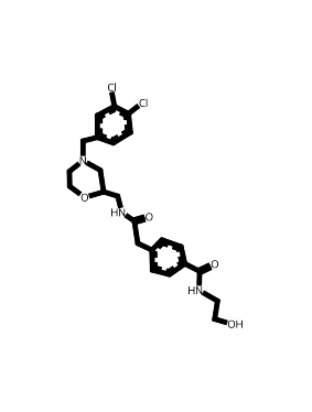 O=C(Cc1ccc(C(=O)NCCO)cc1)NCC1CN(Cc2ccc(Cl)c(Cl)c2)CCO1